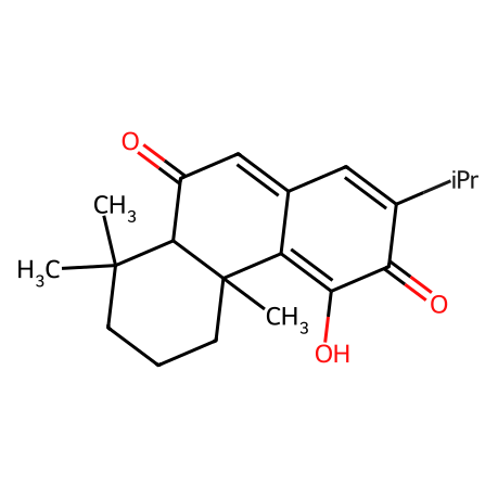 CC(C)C1=CC2=CC(=O)C3C(C)(C)CCCC3(C)C2=C(O)C1=O